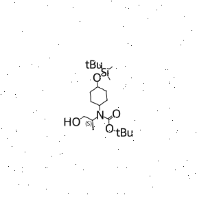 C[C@@H](CO)N(C(=O)OC(C)(C)C)C1CCC(O[Si](C)(C)C(C)(C)C)CC1